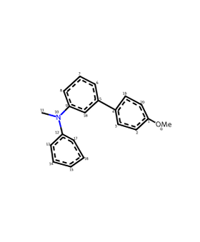 COc1ccc(-c2cccc(N(C)c3ccccc3)c2)cc1